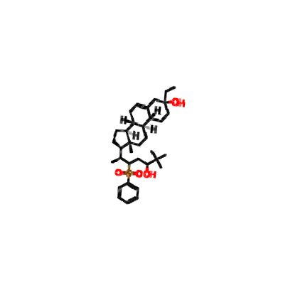 CC[C@]1(O)CC[C@H]2C(=CC[C@@H]3[C@@H]2CC[C@]2(C)[C@@H]([C@H](C)C(C[C@H](O)C(C)(C)C)S(=O)(=O)c4ccccc4)CC[C@@H]32)C1